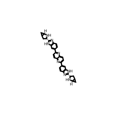 c1cc2nc([C@@H]3CC4C[C@H]4N3)[nH]c2cc1-c1ccc2nc(-c3ccc4nc([C@@H]5CC6C[C@H]6N5)[nH]c4c3)ccc2n1